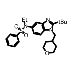 CCN(c1ccc2c(c1)nc(C(C)(C)C)n2CC1CCOCC1)S(=O)(=O)c1ccccc1